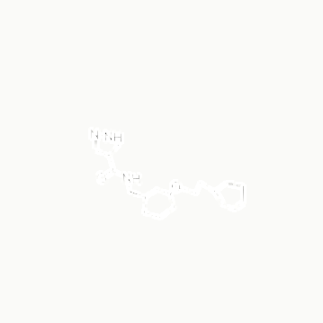 O=C(NC[C@@H]1CCC[C@H](OCCc2ccccc2)C1)C1C=NNC1